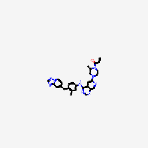 C=CC(=O)N1CCN(c2cc3c(Nc4ccc(Cc5ccn6ncnc6c5)c(C)c4)ncnc3cn2)CC1C